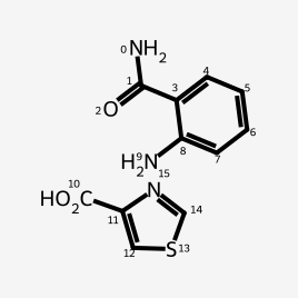 NC(=O)c1ccccc1N.O=C(O)c1cscn1